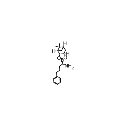 CC1(C)[C@@H]2C[C@H]3OB([C@@H](N)CCCc4ccccc4)O[C@@]3(C)[C@H]1C2